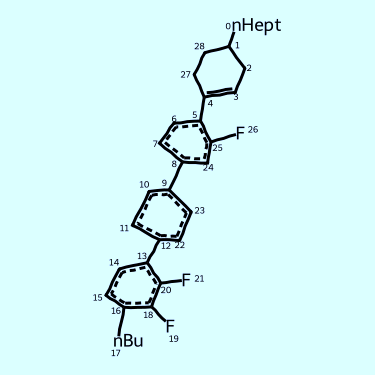 CCCCCCCC1CC=C(c2ccc(-c3ccc(-c4ccc(CCCC)c(F)c4F)cc3)cc2F)CC1